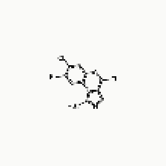 Cc1ncc2c(Cl)nc3cc(Cl)c(Br)cc3n12